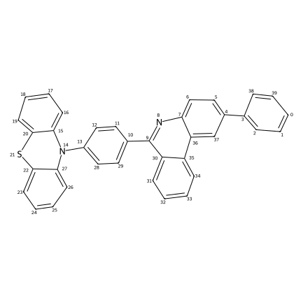 c1ccc(-c2ccc3nc(-c4ccc(N5c6ccccc6Sc6ccccc65)cc4)c4ccccc4c3c2)cc1